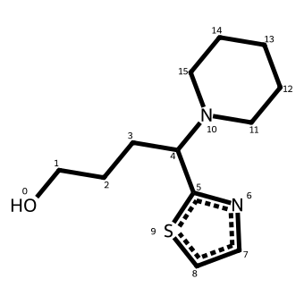 OCCCC(c1nccs1)N1CCCCC1